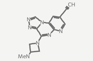 C#Cc1cnc2nc(N3CC(NC)C3)c3nncn3c2c1